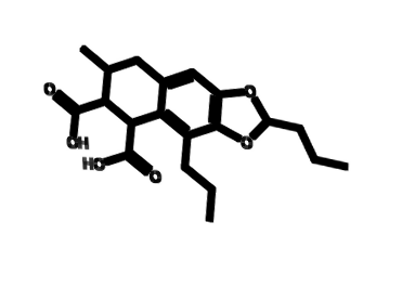 CCCc1c2c(cc3c1C(C(=O)O)C(C(=O)O)C(C)C3)OC(CCC)O2